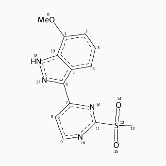 COc1cccc2c(-c3ccnc(S(C)(=O)=O)n3)n[nH]c12